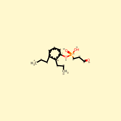 CCCc1cccc(OP(=O)(O)CCC=O)c1CCC